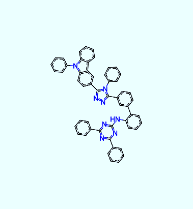 c1ccc(-c2nc(Nc3ccccc3-c3cccc(-c4nnc(-c5ccc6c(c5)c5ccccc5n6-c5ccccc5)n4-c4ccccc4)c3)nc(-c3ccccc3)n2)cc1